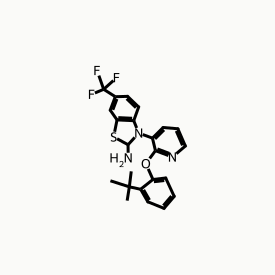 CC(C)(C)c1ccccc1Oc1ncccc1N1c2ccc(C(F)(F)F)cc2SC1N